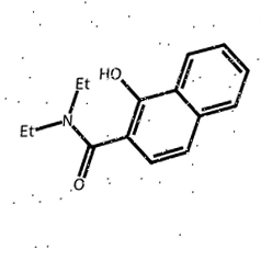 CCN(CC)C(=O)c1ccc2ccccc2c1O